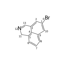 Brc1cc2c3c(cccc3c1)CN=C2